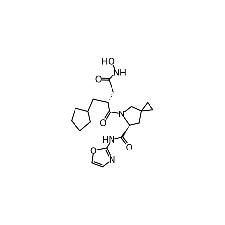 O=C(C[C@@H](CC1CCCC1)C(=O)N1CC2(CC2)C[C@H]1C(=O)Nc1ncco1)NO